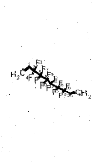 C=CC(F)(F)C(F)(F)C(F)(F)C(F)(F)C(F)(F)C(F)(F)C=C